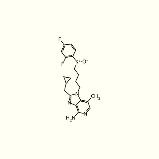 Cc1cnc(N)c2nc(CC3CC3)n(CCCC[S+]([O-])c3ccc(F)cc3F)c12